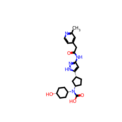 Cc1cc(CC(=O)Nc2cc([C@@H]3CC[C@H](N(C(=O)O)[C@H]4CC[C@@H](O)CC4)C3)[nH]n2)ccn1